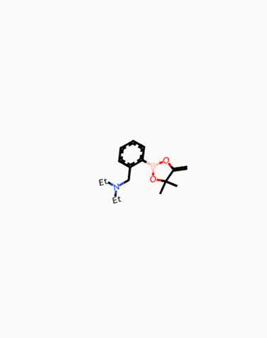 C=C1OB(c2ccccc2CN(CC)CC)OC1(C)C